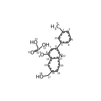 Cc1cccc(-c2cc(OP(=O)(O)O)c3cc(CO)ccc3n2)c1